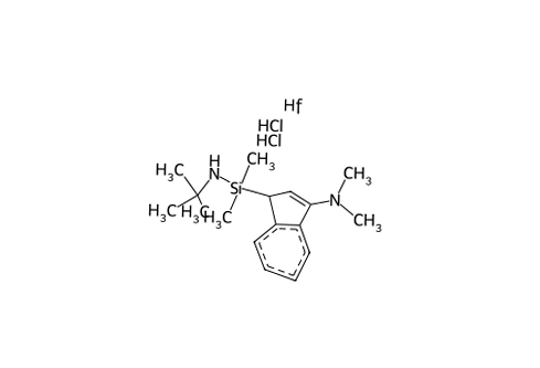 CN(C)C1=CC([Si](C)(C)NC(C)(C)C)c2ccccc21.Cl.Cl.[Hf]